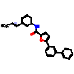 O=C(O)/C=C/c1cccc(NC(=O)c2ccc(-c3cccc(-c4ccccc4)c3)o2)c1